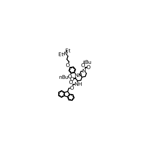 CCCCOc1cc(OCCCN(CC)CC)ccc1NC(=O)C(CC1CCN(C(=O)OC(C)(C)C)CC1)NC(=O)OCC1c2ccccc2-c2ccccc21